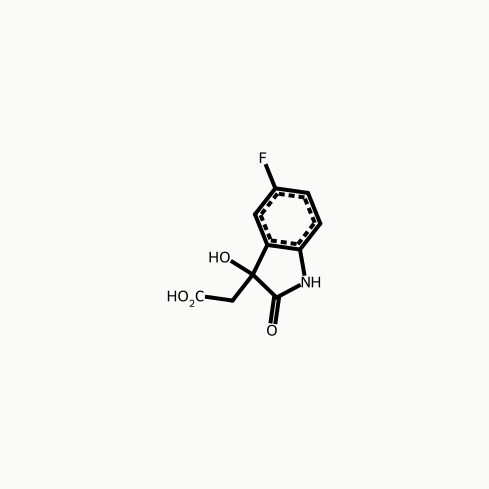 O=C(O)CC1(O)C(=O)Nc2ccc(F)cc21